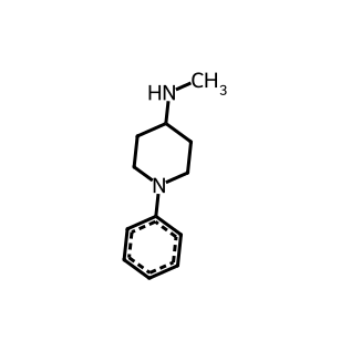 CNC1CCN(c2ccccc2)CC1